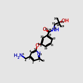 Cc1cc(CN)cc(Oc2cccc(C(=O)NCC(C)(C)O)c2)n1